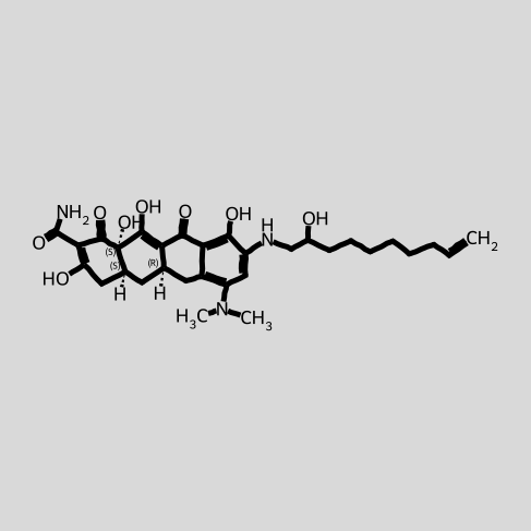 C=CCCCCCCC(O)CNc1cc(N(C)C)c2c(c1O)C(=O)C1=C(O)[C@]3(O)C(=O)C(C(N)=O)=C(O)C[C@@H]3C[C@@H]1C2